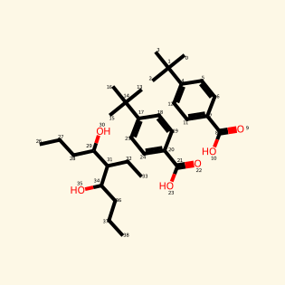 CC(C)(C)c1ccc(C(=O)O)cc1.CC(C)(C)c1ccc(C(=O)O)cc1.CCCC(O)C(CC)C(O)CCC